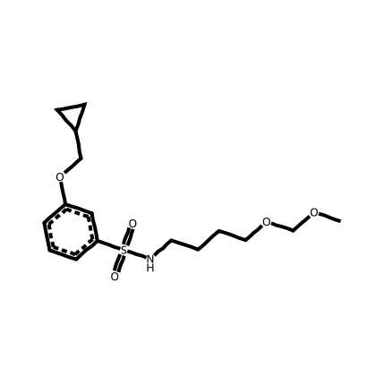 COCOCCCCNS(=O)(=O)c1cccc(OCC2CC2)c1